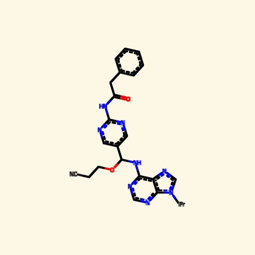 CC(C)n1cnc2c(NC(OCCC#N)c3cnc(NC(=O)Cc4ccccc4)nc3)ncnc21